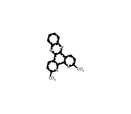 ClC(Cl)(Cl)c1ccc2c(n1)c1nc(C(Cl)(Cl)Cl)ccc1c1nc3ccccc3nc21